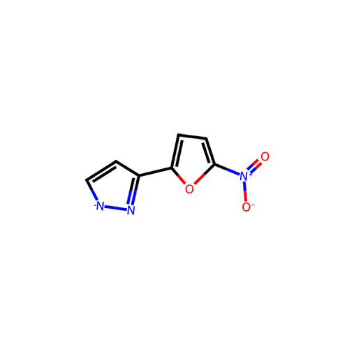 O=[N+]([O-])c1ccc(C2=N[N]C=C2)o1